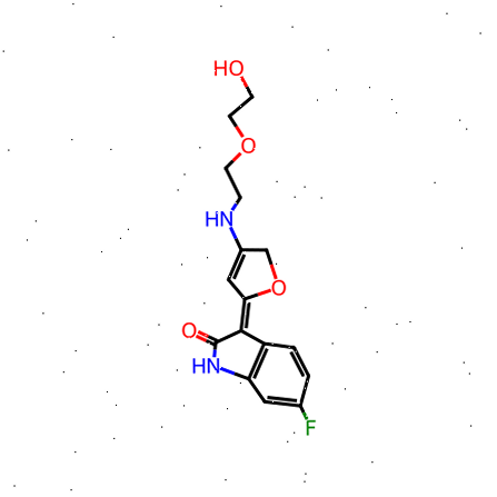 O=C1Nc2cc(F)ccc2C1=C1C=C(NCCOCCO)CO1